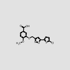 COc1ccc(C(=O)O)cc1OCc1cc(-c2ccc(Cl)s2)on1